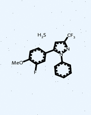 COc1ccc(-c2cc(C(F)(F)F)nn2-c2ccccc2)cc1F.S